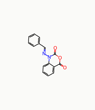 O=c1oc(=O)n(N=Cc2ccccc2)c2ccccc12